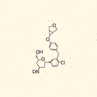 O=N[C@H]1C[C@@H](CO)O[C@@H](c2ccc(Cl)c(Cc3ccc(OC4C5COCC54)cc3)c2)C1